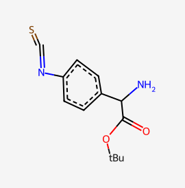 CC(C)(C)OC(=O)C(N)c1ccc(N=C=S)cc1